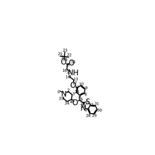 CN1CCC(OC(c2cccc(OCCNCC(=O)OC(C)(C)C)c2)c2nc3ccccc3s2)CC1